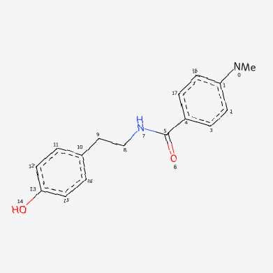 CNc1ccc(C(=O)NCCc2ccc(O)cc2)cc1